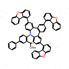 COC(=O)c1cc(-c2ccccc2)ccc1N1c2ccc(-c3cccc4oc5ccccc5c34)cc2-c2ccc(-c3cccc4oc5ccccc5c34)cc2-c2cc(-c3cccc4oc5ccccc5c34)ccc21